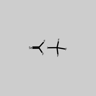 FC(F)(F)I.FC(F)=[Se]